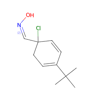 CC(C)(C)C1=CCC(Cl)(/C=N\O)C=C1